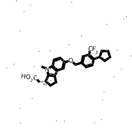 Cn1c2c(c3cc(OCc4ccc(C5CCCC5)c(C(F)(F)F)c4)ccc31)CC[C@@H]2CC(=O)O